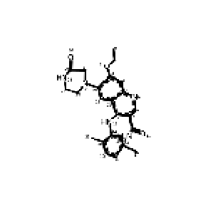 CCOc1cc2ncc(C(N)=O)c(Nc3cc(C)ccc3F)c2cc1N1CCNC(=O)C1